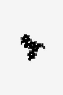 CN1CCC(c2cn(N)c3ccc(C(=O)c4ccccc4F)cc23)CC1